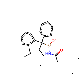 CCc1ccccc1C(CC)(c1ccccc1)[S+]([O-])NC(C)=O